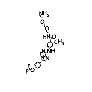 Cc1cc(Nc2nccn3c(-c4ccc(OC(F)F)cc4)cnc23)ccc1C(=O)NCCOCCOCCN